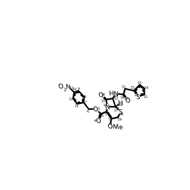 COC1=C(C(=O)OCc2ccc([N+](=O)[O-])cc2)N2C(=O)C(NC(=O)Cc3cccs3)[C@@H]2SC1